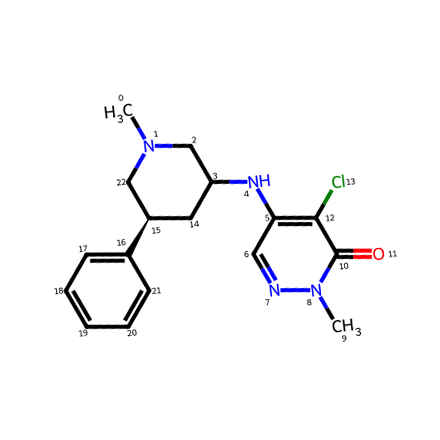 CN1CC(Nc2cnn(C)c(=O)c2Cl)C[C@@H](c2ccccc2)C1